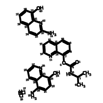 CC(C)NC(=O)Oc1cccc2cccnc12.Cl.Cl.Nc1ccc(O)c2ncccc12.Nc1ccc2cccc(O)c2n1